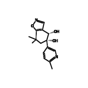 Cc1ccc([C@@]2(O)CC(C)(C)c3oncc3[C@@H]2O)cn1